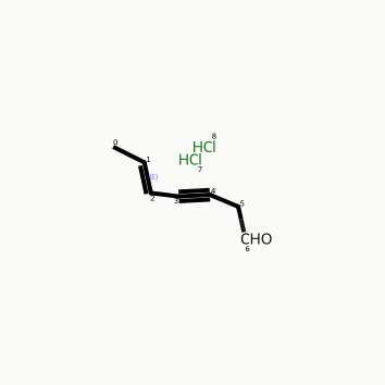 C/C=C/C#CCC=O.Cl.Cl